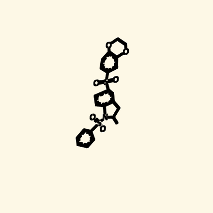 CC1Cc2cc(S(=O)(=O)c3ccc4c(c3)OCCO4)ccc2N1S(=O)(=O)c1ccccc1